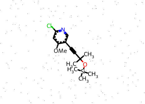 COc1cc(Cl)ncc1C#CC(C)(C)O[Si](C)(C)C